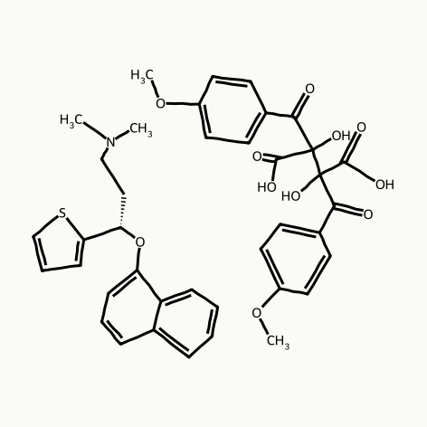 CN(C)CC[C@H](Oc1cccc2ccccc12)c1cccs1.COc1ccc(C(=O)C(O)(C(=O)O)C(O)(C(=O)O)C(=O)c2ccc(OC)cc2)cc1